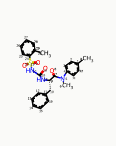 Cc1ccc(N(C)C(=O)[C@H](Cc2ccccc2)NC(=O)NS(=O)(=O)c2ccccc2C)cc1